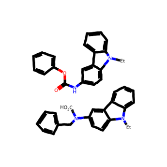 CCn1c2ccccc2c2cc(N(Cc3ccccc3)C(=O)O)ccc21.CCn1c2ccccc2c2cc(NC(=O)Oc3ccccc3)ccc21